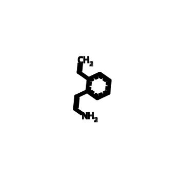 C=Cc1ccccc1/C=C\N